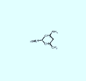 CCC[CH2][AlH2].C[CH](C)[AlH2].Cl.Cl